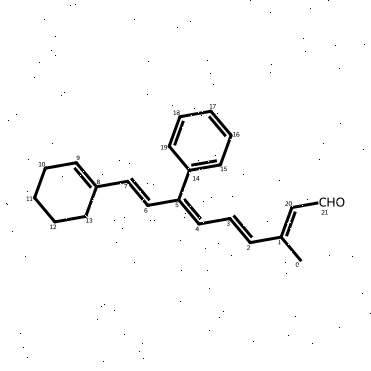 CC(C=CC=C(C=CC1=CCCCC1)c1ccccc1)=CC=O